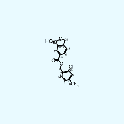 O=C(OCc1ncc(C(F)(F)F)cc1Cl)c1ccc2c(c1)B(O)OC2